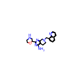 Nc1nc(C2CNCCO2)nc2c1CCN(Cc1cccc3cccnc13)C2